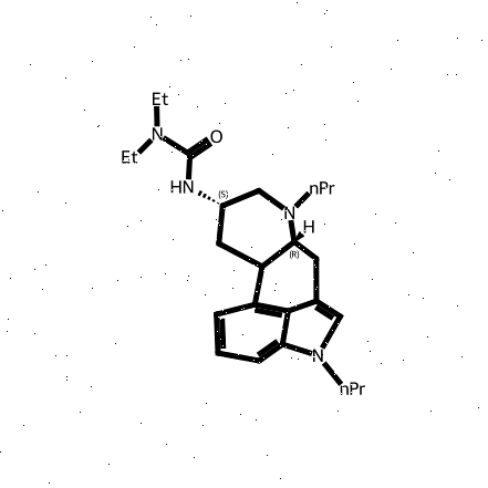 CCCN1C[C@@H](NC(=O)N(CC)CC)CC2c3cccc4c3c(cn4CCC)C[C@H]21